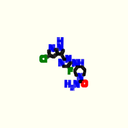 NC(=O)N1CCCC(Nc2nc(-c3c[nH]c4ncc(Cl)cc34)ncc2F)CC1